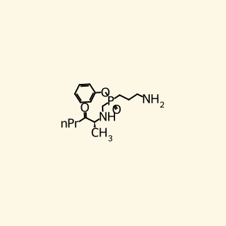 CCCC(=O)[C@H](C)NCP(=O)(CCCN)Oc1ccccc1